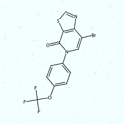 O=c1c2scnc2c(Br)cn1-c1ccc(OC(F)(F)F)cc1